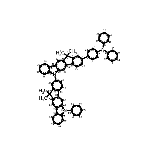 CC1(C)c2cc(-c3ccc(N(c4ccccc4)c4ccccc4)cc3)ccc2-c2cc3c(cc21)c1ccccc1n3-c1ccc2c(c1)C(C)(C)c1cc3c4ccccc4n(-c4ccccc4)c3cc1-2